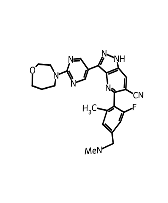 CNCc1cc(C)c(-c2nc3c(-c4cnc(N5CCCOCC5)nc4)n[nH]c3cc2C#N)c(F)c1